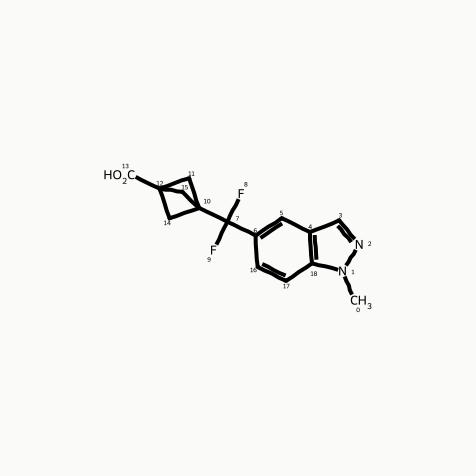 Cn1ncc2cc(C(F)(F)C34CC(C(=O)O)(C3)C4)ccc21